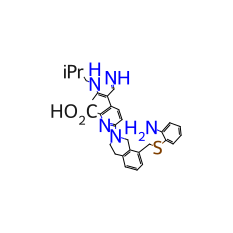 C/C(NCC(C)C)=C(/C=N)c1ccc(N2CCc3cccc(CSc4ccccc4N)c3C2)nc1C(=O)O